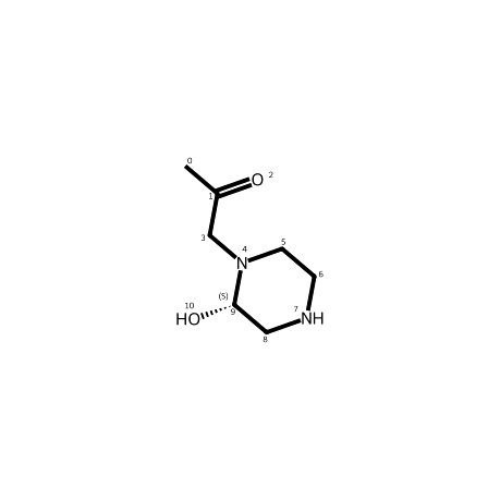 CC(=O)CN1CCNC[C@@H]1O